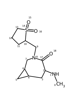 CNC1CC2CC2CN(CC2CCCS2(=O)=O)C1=O